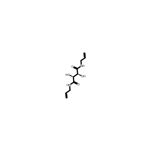 C=CCNC(=O)[C@@H](O)[C@H](O)C(=O)NCC=C